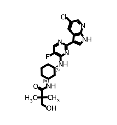 CC(C)(CO)C(=O)N[C@@H]1CCC[C@H](Nc2nc(-c3c[nH]c4ncc(Cl)cc34)ncc2F)C1